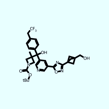 CC(C)(C)OC(=O)N1CC(C)(C(O)(c2ccc(CC(F)(F)F)cc2)c2cncc(-c3nc(C45CC(CO)(C4)C5)no3)c2)C1